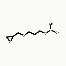 OP(O)OCCCOCC1CO1